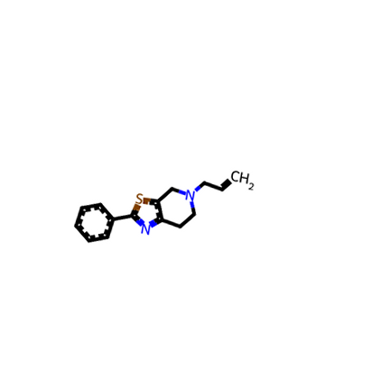 C=CCN1CCc2nc(-c3ccccc3)sc2C1